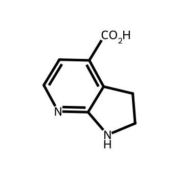 O=C(O)c1ccnc2c1CCN2